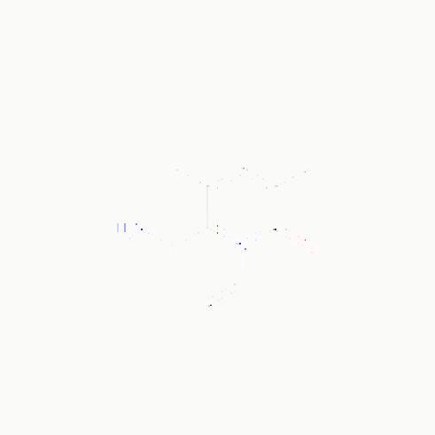 C=Cn1c(SN)c(I)c(C)c(C)c1=O